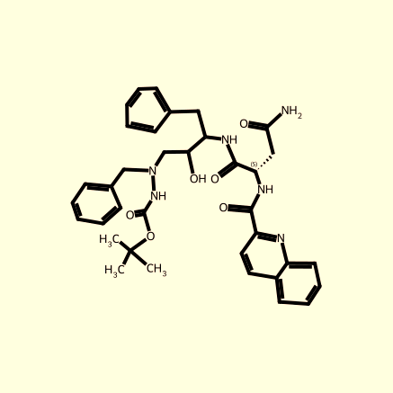 CC(C)(C)OC(=O)NN(Cc1ccccc1)CC(O)C(Cc1ccccc1)NC(=O)[C@H](CC(N)=O)NC(=O)c1ccc2ccccc2n1